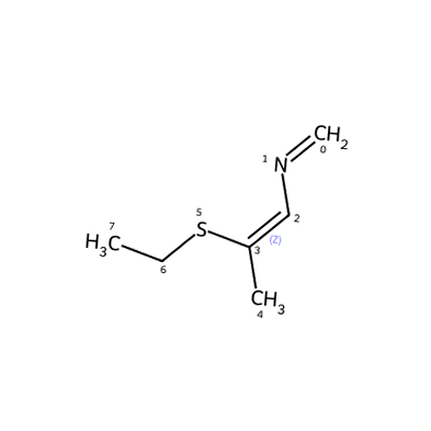 C=N/C=C(/C)SCC